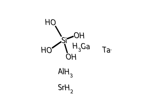 O[Si](O)(O)O.[AlH3].[GaH3].[SrH2].[Ta]